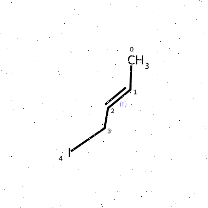 C/[C]=C/CI